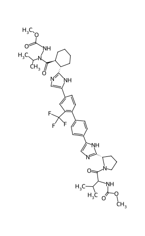 COC(=O)NC(C(=O)N1CCC[C@H]1c1ncc(-c2ccc(-c3ccc(-c4cnc([C@H]5CCCC[C@@H]5C(=O)N(NC(=O)OC)C(C)C)[nH]4)cc3C(F)(F)F)cc2)[nH]1)C(C)C